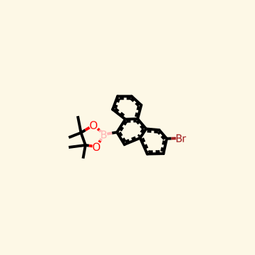 CC1(C)OB(c2cc3ccc(Br)cc3c3ccccc23)OC1(C)C